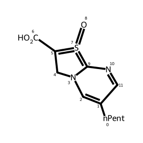 CCCCCC1=CN2CC(C(=O)O)=S(=O)=C2N=C1